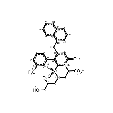 O=C(O)C1CN(C[C@H](O)CO)S(=O)(=O)c2c(-c3cccc(C(F)(F)F)c3)c(Cc3cccc4ccccc34)cc(=O)n21